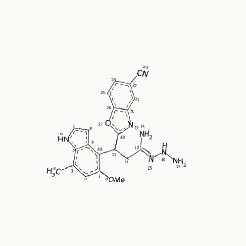 COc1cc(C)c2[nH]ccc2c1C(C/C(N)=N/NN)c1nc2cc(C#N)ccc2o1